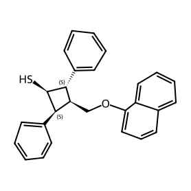 S[C@H]1[C@H](c2ccccc2)[C@@H](COc2cccc3ccccc23)[C@H]1c1ccccc1